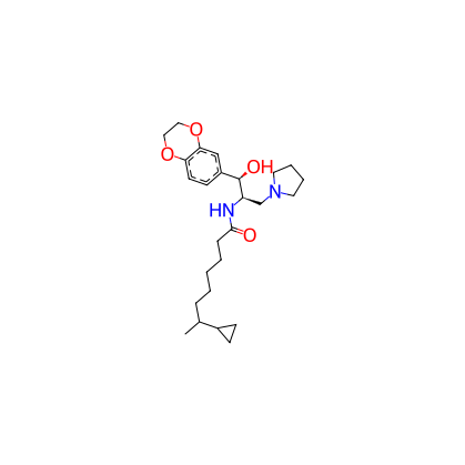 CC(CCCCCC(=O)N[C@H](CN1CCCC1)[C@H](O)c1ccc2c(c1)OCCO2)C1CC1